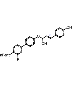 CCCCCc1ccc(-c2ccc(OC(O)/C=C/c3ccc(O)cc3)cc2)cc1F